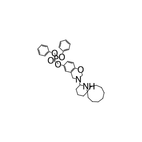 O=P(Oc1ccccc1)(Oc1ccccc1)Oc1ccc2c(c1)CN(C1CCCC3(CCCCCCCC3)N1)CO2